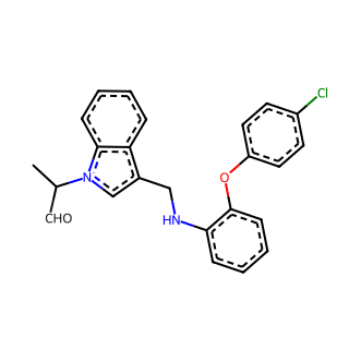 CC(C=O)n1cc(CNc2ccccc2Oc2ccc(Cl)cc2)c2ccccc21